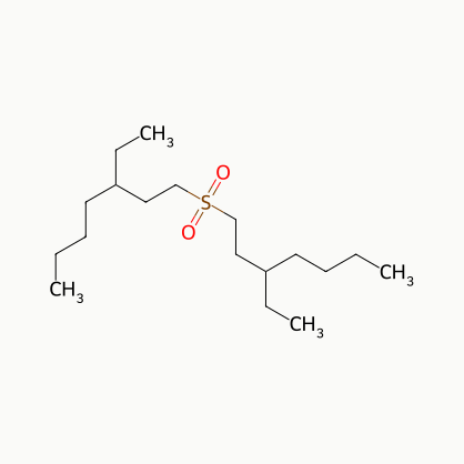 CCCCC(CC)CCS(=O)(=O)CCC(CC)CCCC